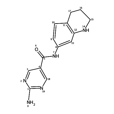 Nc1ncc(C(=O)Nc2ccc3c(c2)NCCC3)cn1